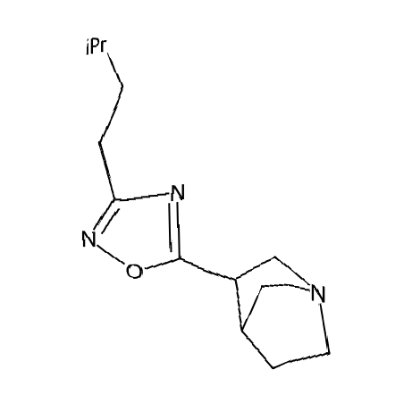 CC(C)CCc1noc(C2CN3CCC2C3)n1